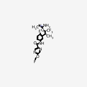 C/N=C(/N)O[C@@H]([C@H](C)c1cc(NC(=O)c2cnc(OCF)cn2)ccc1F)C(F)(F)F